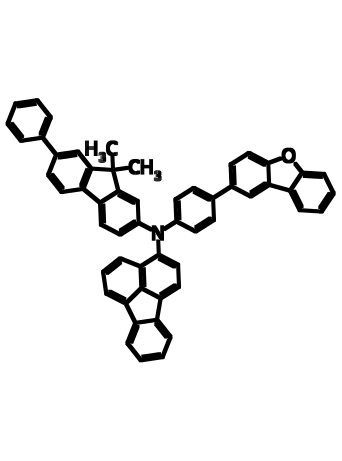 CC1(C)c2cc(-c3ccccc3)ccc2-c2ccc(N(c3ccc(-c4ccc5oc6ccccc6c5c4)cc3)c3ccc4c5c(cccc35)-c3ccccc3-4)cc21